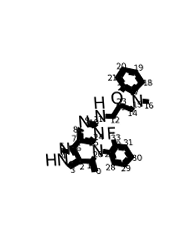 C=C1c2c[nH]nc2-c2cnc(NCC3CN(C)c4ccccc4O3)nc2N1c1ccccc1F